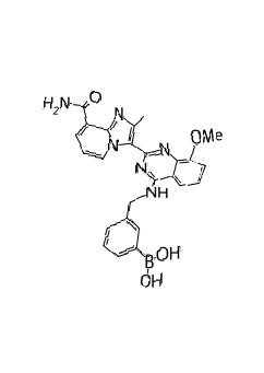 COc1cccc2c(NCc3cccc(B(O)O)c3)nc(-c3c(C)nc4c(C(N)=O)cccn34)nc12